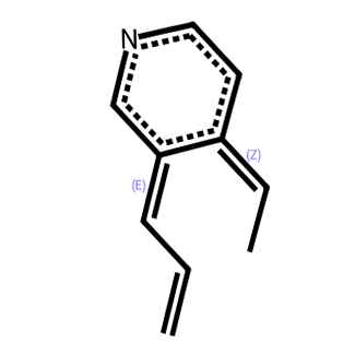 C=C/C=c1/cncc/c1=C/C